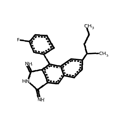 CCCC(C)c1ccc2cc3c(c(-c4cccc(F)c4)c2c1)C(=N)NC3=N